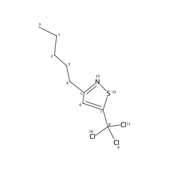 CCCCCc1cc(C(Cl)(Cl)Cl)sn1